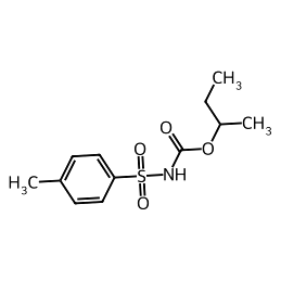 CCC(C)OC(=O)NS(=O)(=O)c1ccc(C)cc1